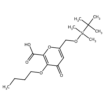 CCCCOc1c(C(=O)O)oc(CO[Si](C)(C)C(C)(C)C)cc1=O